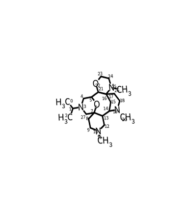 CC(C)N1CC2OC3(CCN(C)CC3C3CC4(CCN3C)C2OCCN4C)C1